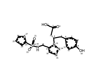 O=C(O)C[C@H](Cc1ccc(O)cc1)n1nncc1CNS(=O)(=O)c1cccs1